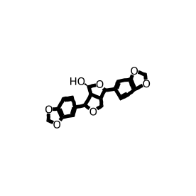 O[C@@H]1OC(c2ccc3c(c2)OCO3)C2COC(c3ccc4c(c3)OCO4)C21